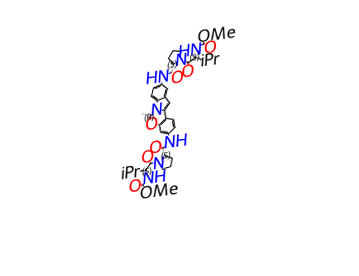 COC(=O)N[C@H](C(=O)N1CCC[C@H]1C(=O)Nc1ccc2c(c1)O[C@H](C)n1c-2cc2cc(NC(=O)[C@@H]3CCCN3C(=O)[C@@H](NC(=O)OC)C(C)C)ccc21)C(C)C